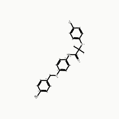 CC(C)(Oc1ccc(Cl)cc1)C(=O)Nc1ccc(OCc2ccc(C(C)(C)C)cc2)cc1